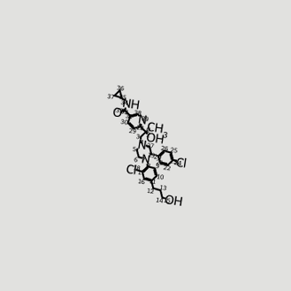 C[C@@](O)(CN1CCN(c2ccc(CCCO)cc2Cl)[C@H](c2ccc(Cl)cc2)C1)c1ccc(C(=O)NC2CC2)cn1